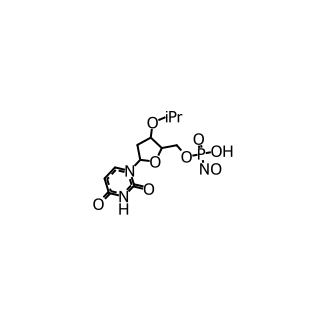 CC(C)OC1CC(n2ccc(=O)[nH]c2=O)OC1COP(=O)(O)N=O